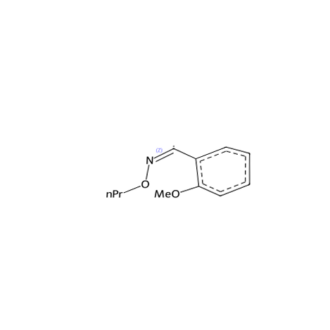 CCCO/N=[C]\c1ccccc1OC